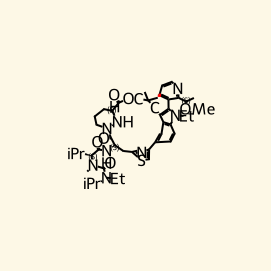 CCN(C(=O)N(C)[C@H](C(=O)N[C@H]1Cc2nc(cs2)-c2ccc3c(c2)c(c(-c2cccnc2[C@H](C)OC)n3CC)CC(C)(C)COC(=O)[C@@H]2CCCN(N2)C1=O)C(C)C)C(C)C